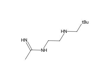 CC(=N)NCCNCC(C)(C)C